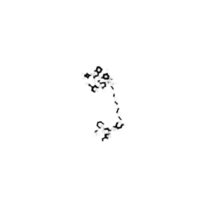 CCc1cnn2c(NCc3ccc(=O)n(CCOCCOCCOCCOCCNS(=O)(=O)c4cc(F)cc(N(C(=O)[C@@H]5CCC(=O)N5c5cc(C#N)ccn5)C(C(=O)NC5CC(F)(F)C5)c5ccccc5Cl)c4)c3)cc(N3CCCC[C@H]3CCO)nc12